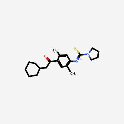 Cc1cc(C(=O)CC2CCCCC2)c(C)cc1/N=C(\S)N1CCCC1